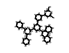 Cc1cc(-c2cccc(-c3cc(-c4nc(-c5ccccc5)nc(-c5ccccc5)n4)cc(-c4cc5ccccc5c5ccccc45)c3)c2)nc(C)n1